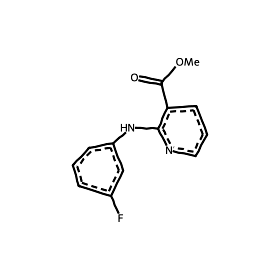 COC(=O)c1cccnc1Nc1cccc(F)c1